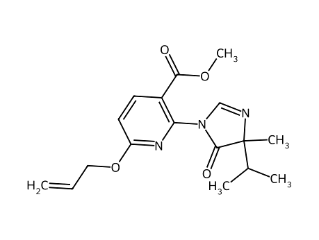 C=CCOc1ccc(C(=O)OC)c(N2C=NC(C)(C(C)C)C2=O)n1